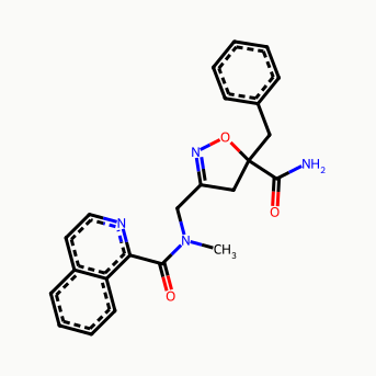 CN(CC1=NOC(Cc2ccccc2)(C(N)=O)C1)C(=O)c1nccc2ccccc12